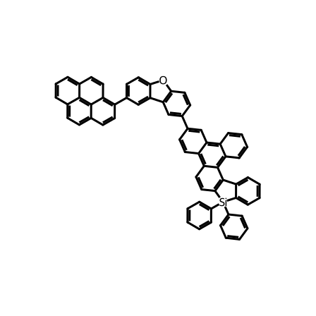 c1ccc([Si]2(c3ccccc3)c3ccccc3-c3c2ccc2c4ccc(-c5ccc6oc7ccc(-c8ccc9ccc%10cccc%11ccc8c9c%10%11)cc7c6c5)cc4c4ccccc4c32)cc1